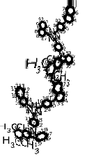 CC1(C)CCC(C)(C)c2cc3c(cc21)c1ccccc1n3-c1ccc(-c2nc(-c3ccc(-c4cccc5ccc(CC6(C)CCC(C)(C)c7cc8c(cc76)c6ccccc6n8-c6ccc(-c7nc(-c8ccc(-c9ccc%10ccccc%10c9)cc8)nc(-c8cccc9ccccc89)n7)cc6)cc45)cc3)nc(-c3ccc4ccccc4c3)n2)cc1